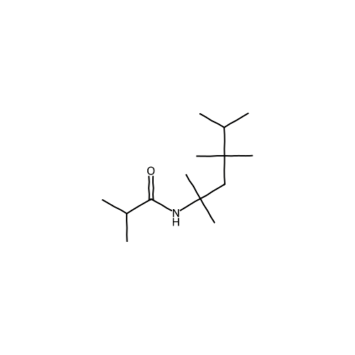 CC(C)C(=O)NC(C)(C)CC(C)(C)C(C)C